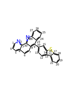 c1cnc2c(c1)ccc1c(-c3ccc4c(c3)sc3ccccc34)c3ccccc3nc12